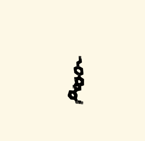 COc1cccc(-c2cn3ccc(N4CCN(CCF)CC4)nc3n2)c1